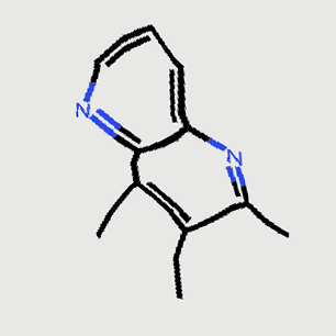 Cc1nc2cccnc2c(C)c1C